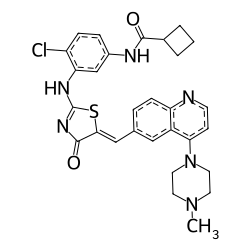 CN1CCN(c2ccnc3ccc(/C=C4\SC(Nc5cc(NC(=O)C6CCC6)ccc5Cl)=NC4=O)cc23)CC1